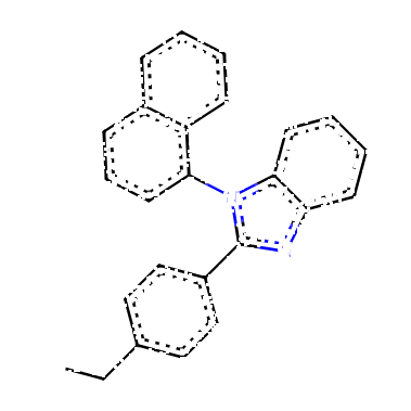 [2H]Cc1ccc(-c2nc3ccccc3n2-c2cccc3ccccc23)cc1